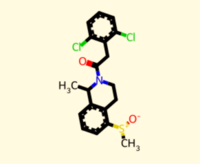 CC1c2cccc([S+](C)[O-])c2CCN1C(=O)Cc1c(Cl)cccc1Cl